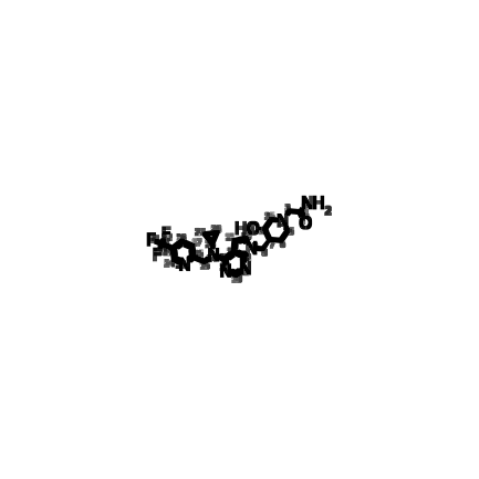 NC(=O)CN1CC[C@@H](Cn2ccc3c(N(Cc4ccc(C(F)(F)F)cn4)C4CC4)ncnc32)[C@H](O)C1